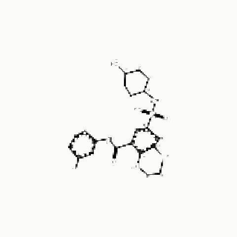 Cc1cccc(NC(=O)c2cc(S(=O)(=O)NC3CCC(O)CC3)cc3c2OCCO3)c1